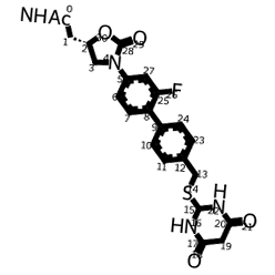 CC(=O)NC[C@H]1CN(c2ccc(-c3ccc(CSC4NC(=O)CC(=O)N4)cc3)c(F)c2)C(=O)O1